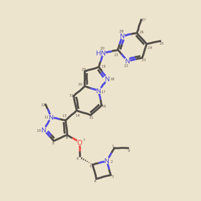 CCN1CC[C@@H]1COc1cnn(C)c1-c1ccn2nc(Nc3ncc(C)c(C)n3)cc2c1